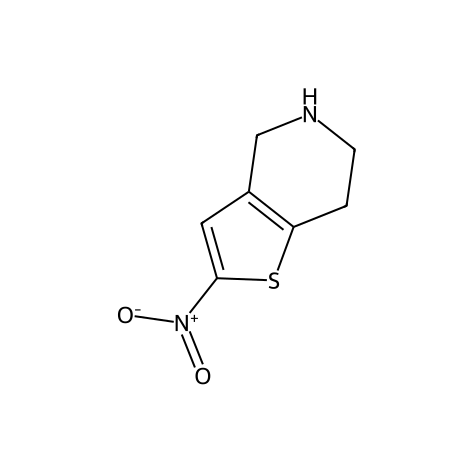 O=[N+]([O-])c1cc2c(s1)CCNC2